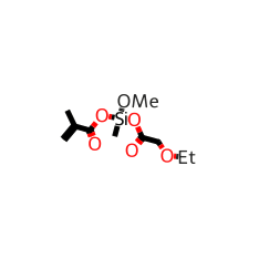 C=C(C)C(=O)O[Si](C)(OC)OC(=O)COCC